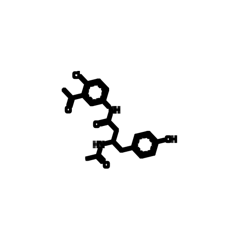 CC(=O)NC(CC(=O)Nc1ccc(Cl)c(C(C)=O)c1)Cc1ccc(O)cc1